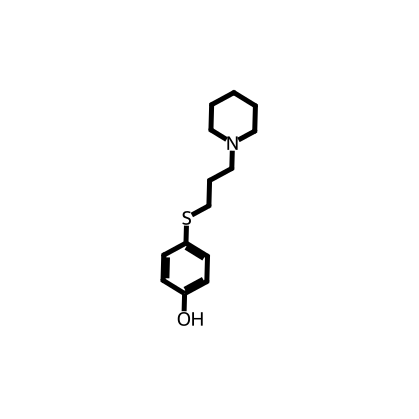 Oc1ccc(SCCCN2CCCCC2)cc1